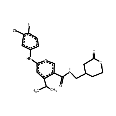 CC(C)c1cc(Nc2ccc(F)c(Cl)c2)ncc1C(=O)NCC1CCOC(=O)C1